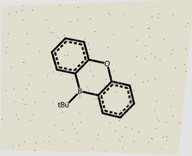 CC(C)(C)B1c2ccccc2Oc2ccccc21